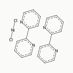 [Cl][Ni][Cl].c1ccc(-c2ccccn2)nc1.c1ccc(-c2ccccn2)nc1